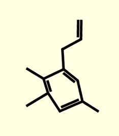 C=CCc1cc(C)cc(C)c1C